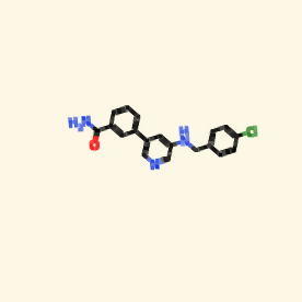 NC(=O)c1cccc(-c2cncc(NCc3ccc(Cl)cc3)c2)c1